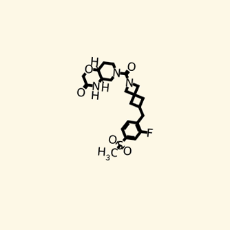 CS(=O)(=O)c1ccc(CC2CC3(C2)CN(C(=O)N2CC[C@@H]4OCC(=O)N[C@@H]4C2)C3)c(F)c1